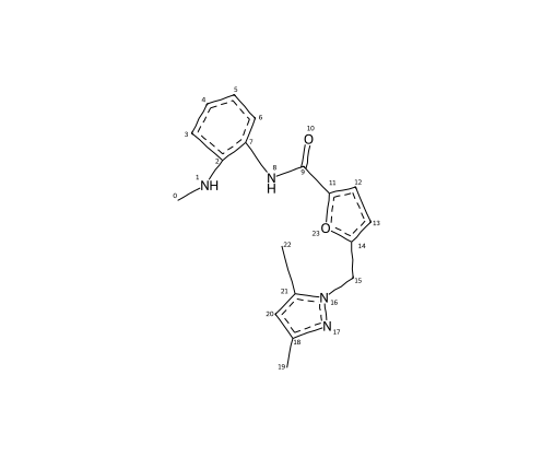 CNc1ccccc1NC(=O)c1ccc(Cn2nc(C)cc2C)o1